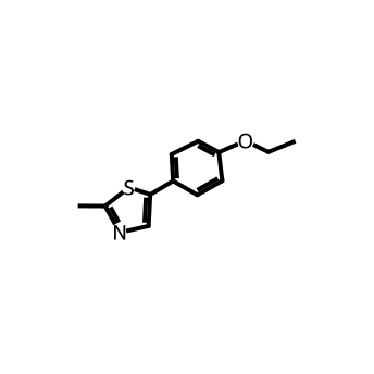 CCOc1ccc(-c2cnc(C)s2)cc1